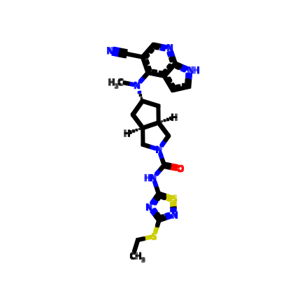 CCSc1nsc(NC(=O)N2C[C@H]3C[C@H](N(C)c4c(C#N)cnc5[nH]ccc45)C[C@H]3C2)n1